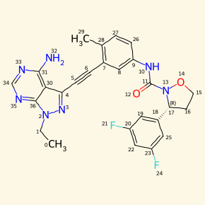 CCn1nc(C#Cc2cc(NC(=O)N3OCC[C@@H]3c3cc(F)cc(F)c3)ccc2C)c2c(N)ncnc21